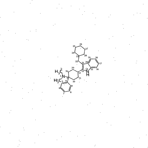 CN(C)C1(c2ccccc2)CCC(c2[nH]c3ccccc3c2CC2CCCCC2)CC1